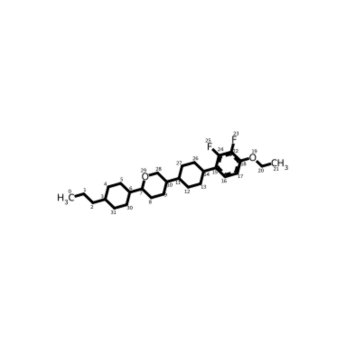 CCCC1CCC(C2CCC(C3CCC(c4ccc(OCC)c(F)c4F)CC3)CO2)CC1